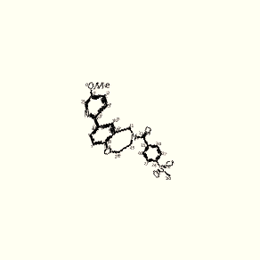 COc1ccc(-c2ccc3c(c2)CN(C(=O)c2ccc(S(C)(=O)=O)cc2)CCO3)nc1